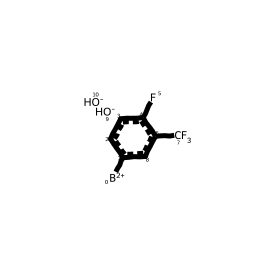 [B+2]c1ccc(F)c(C(F)(F)F)c1.[OH-].[OH-]